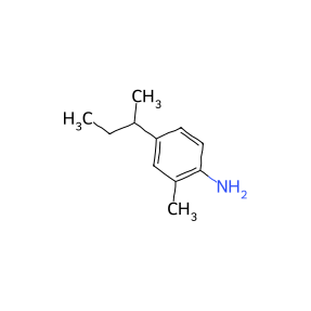 CCC(C)c1ccc(N)c(C)c1